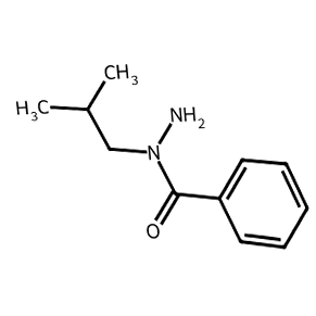 CC(C)CN(N)C(=O)c1ccccc1